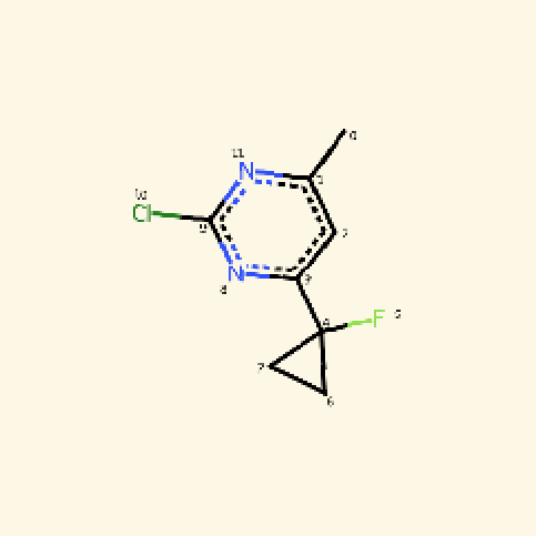 Cc1cc(C2(F)CC2)nc(Cl)n1